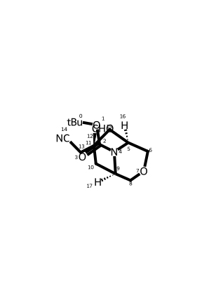 CC(C)(C)OC(=O)N1[C@@H]2COC[C@H]1C[C@](C=O)(CC#N)C2